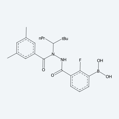 CCCC(N(NC(=O)c1cccc(B(O)O)c1F)C(=O)c1cc(C)cc(C)c1)C(C)(C)C